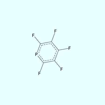 Fc1pc(F)c(F)c(F)c1F